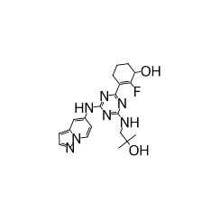 CC(C)(O)CNc1nc(Nc2ccn3nccc3c2)nc(C2=C(F)C(O)CCC2)n1